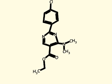 CCOC(=O)c1cnc(-c2ccc(Cl)cc2)nc1N(C)C